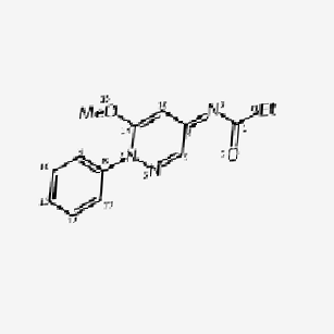 CCC(=O)N=c1cnn(-c2ccccc2)c(OC)c1